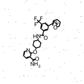 NC(=O)c1cccnc1OC1CCC(NC(=O)c2cc(N3CC4CCC3CO4)cc(C(F)(F)F)c2)CC1